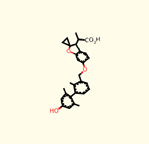 Cc1cc(O)cc(C)c1-c1cccc(COc2ccc3c(c2)OC2(CC2)C3C(C)C(=O)O)c1C